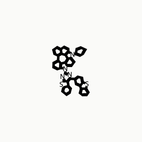 c1ccc(-n2c3ccc4cccc5c4c3c3c4c6c-5cccc6n(-c5nc(-c6ccc7sc8ccccc8c7c6)c6c(n5)sc5ccccc56)c4ccc32)cc1